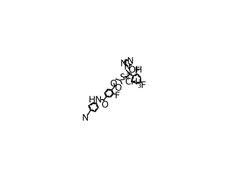 C[C@@H](SC1COC(c2ccc(C(=O)Nc3ccc(C#N)cc3)cc2F)OC1)[C@](O)(Cn1cncn1)c1ccc(F)cc1F